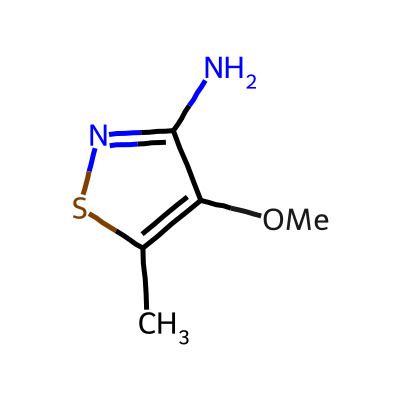 COc1c(N)nsc1C